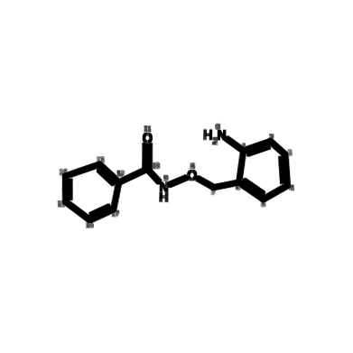 Nc1ccccc1CONC(=O)c1ccccc1